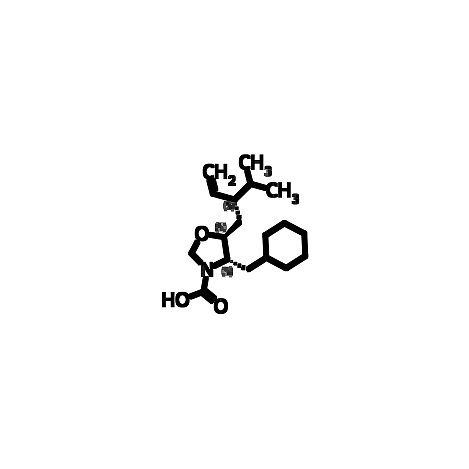 C=C[C@@H](C[C@@H]1OCN(C(=O)O)[C@H]1CC1CCCCC1)C(C)C